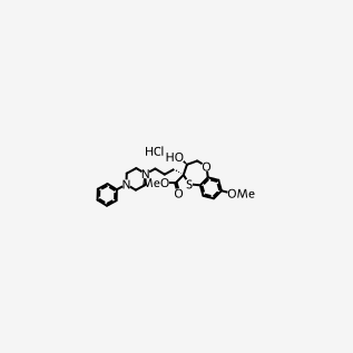 COC(=O)[C@]1(CCCN2CCN(c3ccccc3)CC2)Sc2ccc(OC)cc2OC[C@@H]1O.Cl